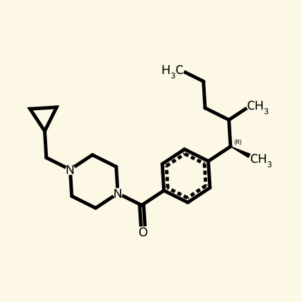 CCCC(C)[C@@H](C)c1ccc(C(=O)N2CCN(CC3CC3)CC2)cc1